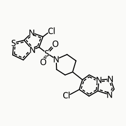 O=S(=O)(c1c(Cl)nc2sccn12)N1CCC(c2cn3ncnc3cc2Cl)CC1